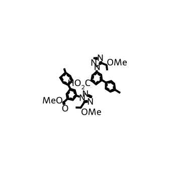 COC(=O)c1cc(-c2ccc(C)cc2)cc(-n2ncnc2C(C)OC)c1.COC(C)c1ncnn1-c1cc(C(=O)O)cc(-c2ccc(C)cc2)c1